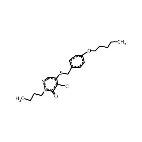 CCCCCOc1ccc(CSc2cnn(CCCC)c(=O)c2Cl)cc1